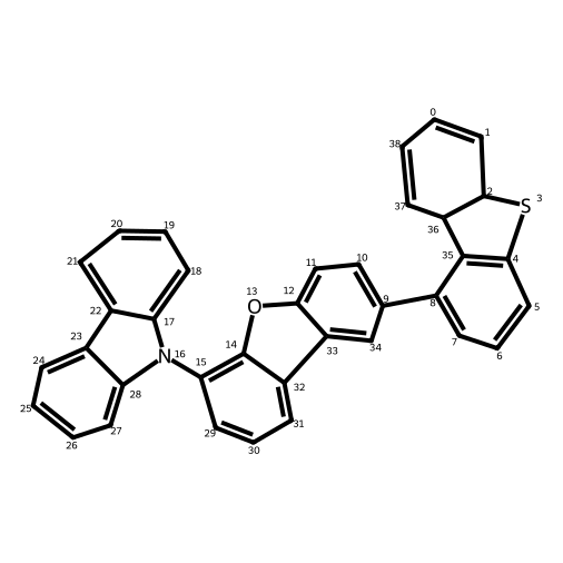 C1=CC2Sc3cccc(-c4ccc5oc6c(-n7c8ccccc8c8ccccc87)cccc6c5c4)c3C2C=C1